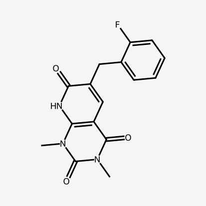 Cn1c(=O)c2cc(Cc3ccccc3F)c(=O)[nH]c2n(C)c1=O